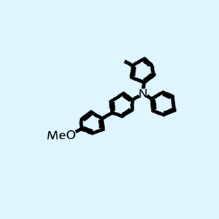 COc1ccc(-c2ccc(N(c3ccccc3)c3cccc(C)c3)cc2)cc1